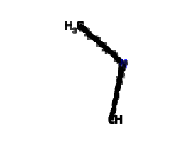 C#CC#CC#CC#CC#CC#CC#C/B=N/C#CC#CC#CC#CC#CC#CC#CC